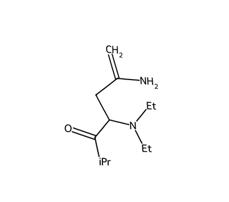 C=C(N)CC(C(=O)C(C)C)N(CC)CC